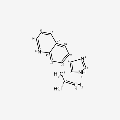 C=CC.Cl.c1c[nH]cn1.c1ccc2ncccc2c1